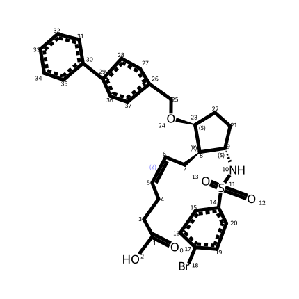 O=C(O)CC/C=C\C[C@@H]1[C@@H](NS(=O)(=O)c2ccc(Br)cc2)CC[C@@H]1OCc1ccc(-c2ccccc2)cc1